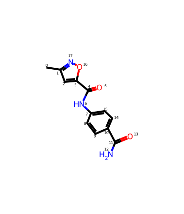 Cc1cc(C(=O)Nc2ccc(C(N)=O)cc2)on1